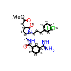 COC(=O)C[C@@H]1C[C@@H](CNC(=O)c2cccc(C(=N)N)c2)N(CCCc2ccccc2)C1=O.Cl